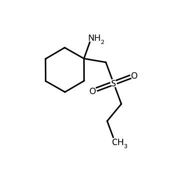 CCCS(=O)(=O)CC1(N)CCCCC1